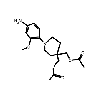 COc1cc(N)ccc1N1CCC(COC(C)=O)(COC(C)=O)CC1